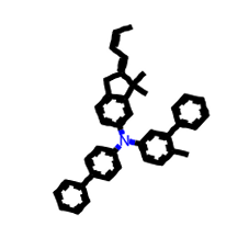 C/C=C\C=C1/Cc2ccc(N(c3ccc(-c4ccccc4)cc3)c3ccc(C)c(-c4ccccc4)c3)cc2C1(C)C